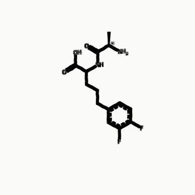 C[C@@H](N)C(=O)NC(CCCc1ccc(F)c(F)c1)C(=O)O